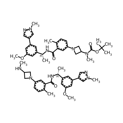 CNC1CN(c2ccc(C)c(C(=O)N[C@H](C)c3cc(OC)cc(-c4cnn(C)c4)c3)c2)C1.COc1cc(-c2cnn(C)c2)cc([C@@H](C)NC(=O)c2cc(N3CC(N(C)C(=O)OC(C)(C)C)C3)ccc2C)c1